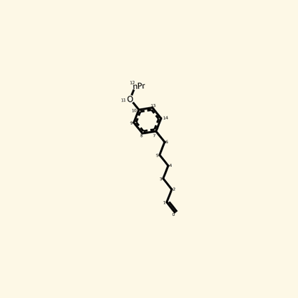 C=CCCCCCc1ccc(OCCC)cc1